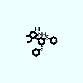 CCc1c(C)ccc2[nH]c3c(Sc4ccccc4)cc(Sc4ccccc4)cc3c12.I